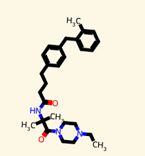 CCN1CCN(C(=O)C(C)(C)NC(=O)CCCc2ccc(Cc3ccccc3C)cc2)CC1